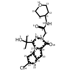 CC(C)(O)c1nn(CC(=O)NC2CCOCC2)c(=O)c2cc3sc(Cl)cc3n12